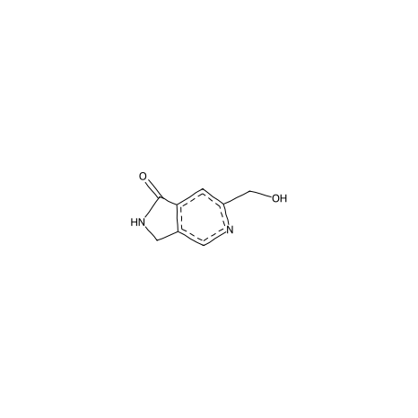 O=C1NCc2cnc(CO)cc21